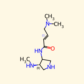 CN[C@@H]1CNCC1NC(=O)/C=C/CN(C)C